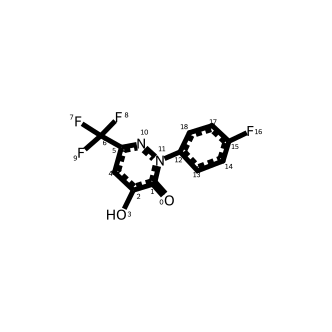 O=c1c(O)cc(C(F)(F)F)nn1-c1ccc(F)cc1